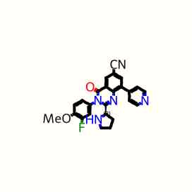 COc1ccc(-n2c([C@H]3CCCN3)nc3c(-c4ccncc4)cc(C#N)cc3c2=O)cc1F